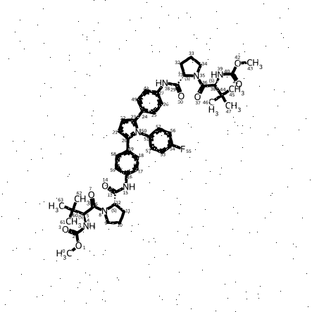 COC(=O)N[C@H](C(=O)N1CCC[C@H]1C(=O)Nc1ccc(-c2ccc(-c3ccc(NC(=O)[C@@H]4CCCN4C(=O)[C@@H](NC(=O)OC)C(C)(C)C)cc3)n2-c2ccc(F)cc2)cc1)C(C)(C)C